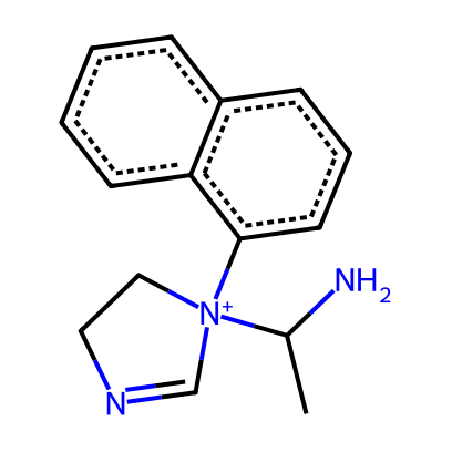 CC(N)[N+]1(c2cccc3ccccc23)C=NCC1